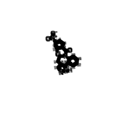 O=C(c1ccc([N+](=O)[O-])cc1Cl)N1CCc2cn[nH]c2-c2ccccc21